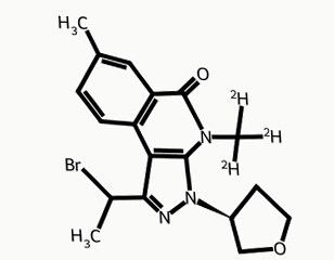 [2H]C([2H])([2H])n1c(=O)c2cc(C)ccc2c2c(C(C)Br)nn([C@H]3CCOC3)c21